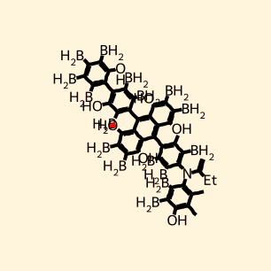 Bc1c(B)c(B)c(-c2c(B)c(B)c(-c3c4c(O)c(B)c(B)c(O)c4c(-c4c(B)c(B)c(N(C(=C)CC)c5c(B)c(B)c(O)c(C)c5C)c(B)c4C)c4c(O)c(B)c(B)c(O)c34)c(B)c2O)c(O)c1B